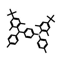 Cc1ccc(C(c2ccc(N(c3ccc(C)cc3)c3c(C)cc(C(C)(C)C)cc3C)cc2)c2c(C)cc(C(C)(C)C)cc2C)cc1